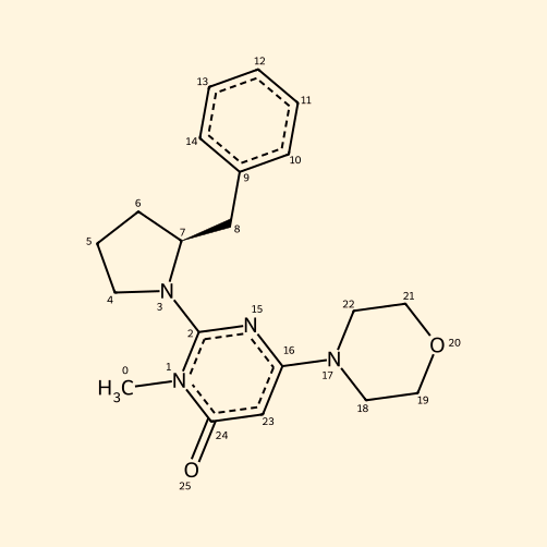 Cn1c(N2CCC[C@H]2Cc2ccccc2)nc(N2CCOCC2)cc1=O